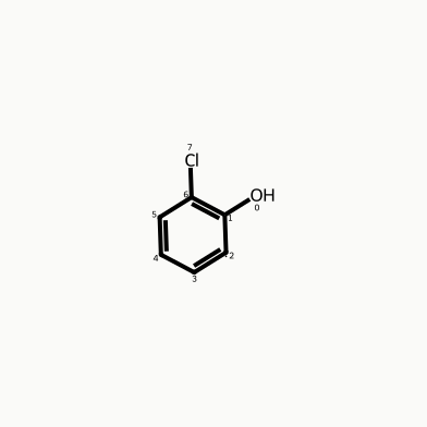 Oc1[c]cccc1Cl